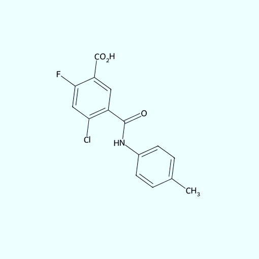 Cc1ccc(NC(=O)c2cc(C(=O)O)c(F)cc2Cl)cc1